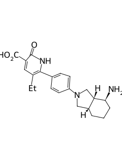 CCc1cc(C(=O)O)c(=O)[nH]c1-c1ccc(N2C[C@H]3CCC[C@H](N)[C@H]3C2)cc1